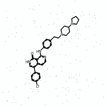 O=c1[nH]cc(-c2ccc(Cl)cc2)c2ccnc(Nc3ccc(CCN4CCC(N5CCCC5)CC4)cc3)c12